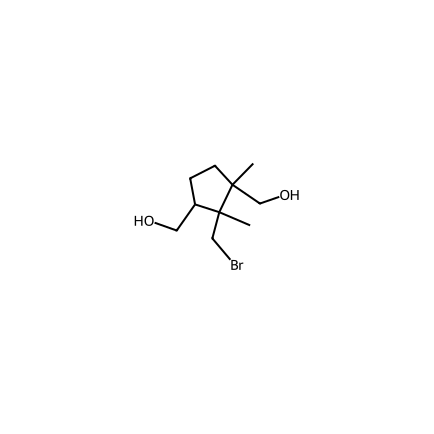 CC1(CO)CCC(CO)C1(C)CBr